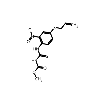 C=CCSc1ccc(NC(=S)NC(=O)OC)c([N+](=O)[O-])c1